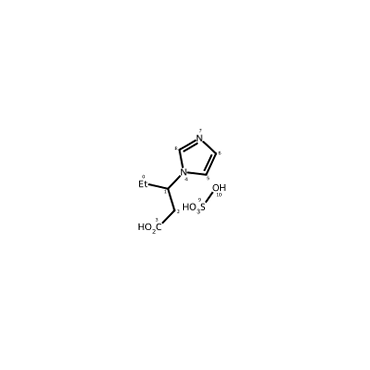 CCC(CC(=O)O)n1ccnc1.O=S(=O)(O)O